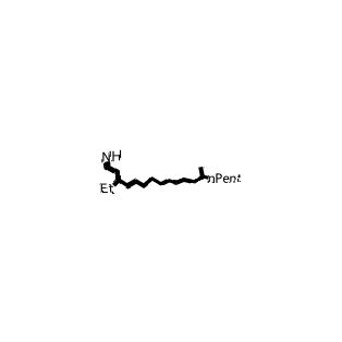 CCCCCC(C)CCCCCCCCCC(CC)CC=N